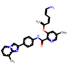 C=C(/C=C\C=C/N)Oc1cc(OC)cnc1C(=O)Nc1ccc(-c2cn3cccc(C)c3n2)cc1